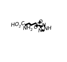 N[C@@H](CCCS(=O)(=O)c1nc[nH]n1)C(=O)O